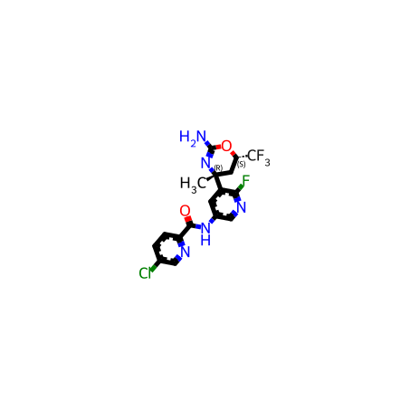 C[C@]1(c2cc(NC(=O)c3ccc(Cl)cn3)cnc2F)C[C@@H](C(F)(F)F)OC(N)=N1